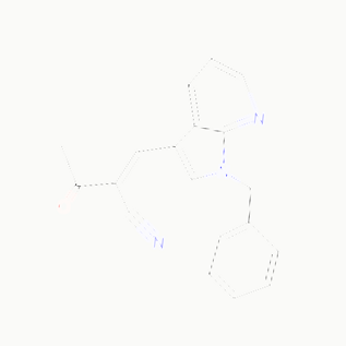 CC(=O)/C(C#N)=C/c1cn(Cc2ccccc2)c2ncccc12